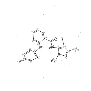 Cn1nc(C(F)(F)F)c(F)c1NC(=O)c1ccccc1Nc1ccc(Cl)cc1